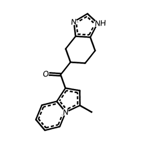 Cc1cc(C(=O)C2CCc3[nH]cnc3C2)c2ccccn12